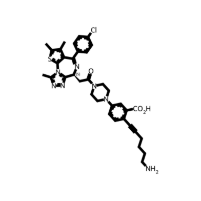 Cc1sc2c(c1C)C(c1ccc(Cl)cc1)=N[C@@H](CC(=O)N1CCN(c3ccc(C#CCCCCN)c(C(=O)O)c3)CC1)c1nnc(C)n1-2